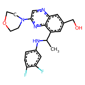 CC(Nc1ccc(F)c(F)c1)c1cc(CO)cc2ncc(N3CCOCC3)nc12